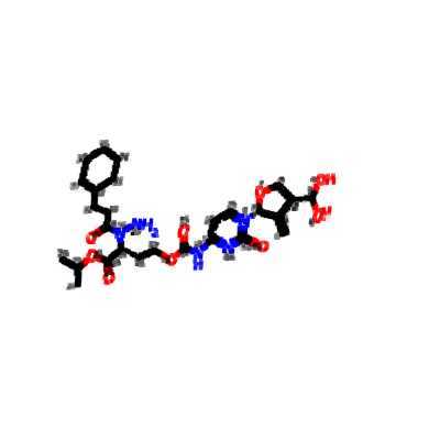 C=C1[C@H](C(O)O)CO[C@H]1n1ccc(NC(=O)OCC[C@@H](C(=O)OC(C)C)N(N)C(=O)CCC2CCCCC2)nc1=O